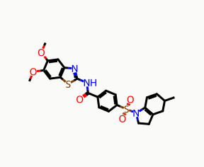 COc1cc2nc(NC(=O)c3ccc(S(=O)(=O)N4CCC5=C4C=CC(C)C5)cc3)sc2cc1OC